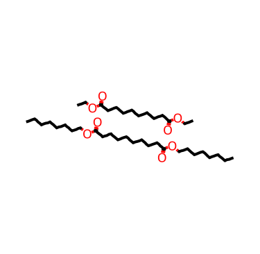 CCCCCCCCOC(=O)CCCCCCCCC(=O)OCCCCCCCC.CCOC(=O)CCCCCCCCC(=O)OCC